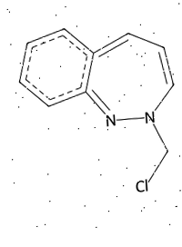 ClCN1C=CC=c2ccccc2=N1